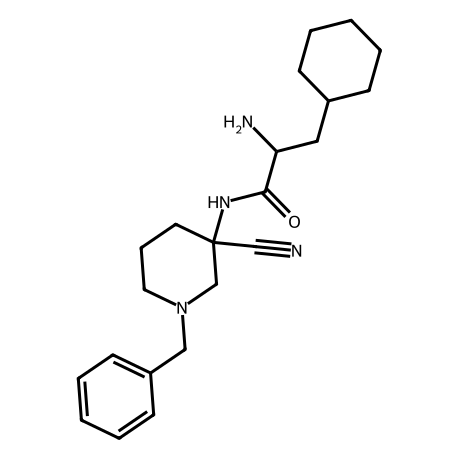 N#CC1(NC(=O)C(N)CC2CCCCC2)CCCN(Cc2ccccc2)C1